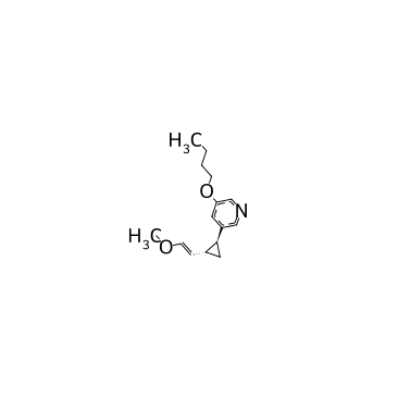 CCCCOc1cncc([C@H]2C[C@@H]2C=COC)c1